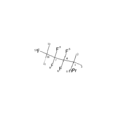 CCCC(C)(C)C(F)(F)C(F)(F)C(C)(C)F